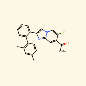 COC(=O)c1cc2nc(-c3ccccc3-c3ccc(C)cc3C)cn2cc1F